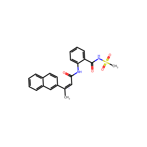 C/C(=C/C(=O)Nc1ccccc1C(=O)NS(C)(=O)=O)c1ccc2ccccc2c1